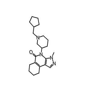 Cn1ncc2c3c(c(=O)n(C4CCCN(CC5CCCC5)C4)c21)CCCC3